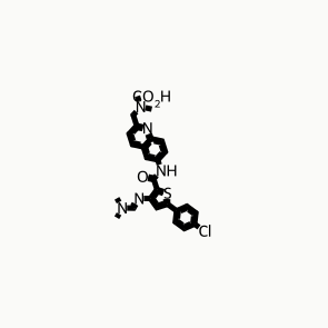 CN(C)C=Nc1cc(-c2ccc(Cl)cc2)sc1C(=O)Nc1ccc2nc(CN(C)C(=O)O)ccc2c1